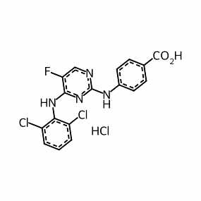 Cl.O=C(O)c1ccc(Nc2ncc(F)c(Nc3c(Cl)cccc3Cl)n2)cc1